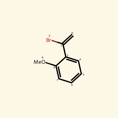 C=C(Br)c1ccccc1OC